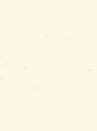 COc1ccnc2c1OC(C)(C)OC2=O.O=C(O)C(F)(F)F